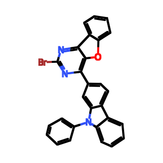 Brc1nc(-c2ccc3c4ccccc4n(-c4ccccc4)c3c2)c2oc3ccccc3c2n1